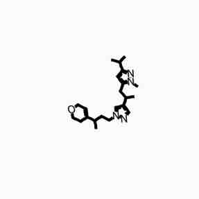 CC(CCn1cc(C(C)Cc2cc(C(C)C)nn2C)cn1)C1=CCOCC1